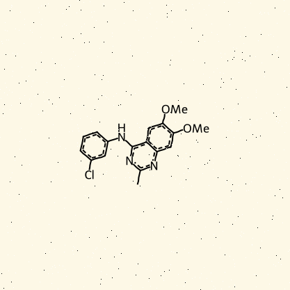 COc1cc2nc(C)nc(Nc3cccc(Cl)c3)c2cc1OC